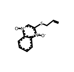 C=CCSc1c[n+]([O-])c2ccccc2[n+]1[O-]